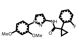 COc1ccc(-n2ccc(NC(=O)C3(c4ccccc4F)CC3)n2)c(OC)c1